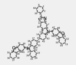 c1ccc(-c2nc3cc4c(cc3s2)c2cc(-c3ccc5c(c3)c3ccccc3n5-c3ccc5oc6ccccc6c5c3)ccc2n4-c2ccc3oc4ccccc4c3c2)cc1